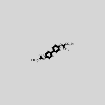 CCOC(=O)C(C)Oc1ccc(-c2ccc(OC(C)C(=O)OCC)cc2)cc1